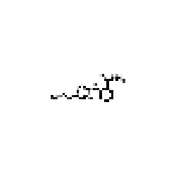 CC(=O)CCc1cc(C)c(Oc2ccccc2C(N)=O)c(C)c1